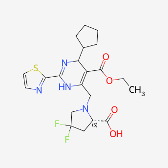 CCOC(=O)C1=C(CN2CC(F)(F)C[C@H]2C(=O)O)NC(c2nccs2)=NC1C1CCCC1